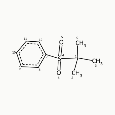 CC(C)(C)S(=O)(=O)c1c[c]ccc1